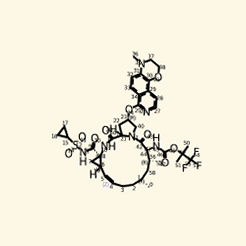 C[C@@H]1CC/C=C\[C@@H]2C[C@@]2(C(=O)NS(=O)(=O)C2CC2)NC(=O)[C@@H]2C[C@@H](Oc3nccc4c5c(ccc34)N(C)CCO5)CN2C(=O)[C@@H](NC(=O)OC(C)(C)C(F)(F)F)[C@H](C)C1